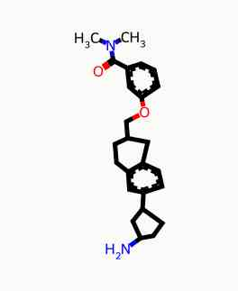 CN(C)C(=O)c1cccc(OCC2CCc3cc(C4CCC(N)C4)ccc3C2)c1